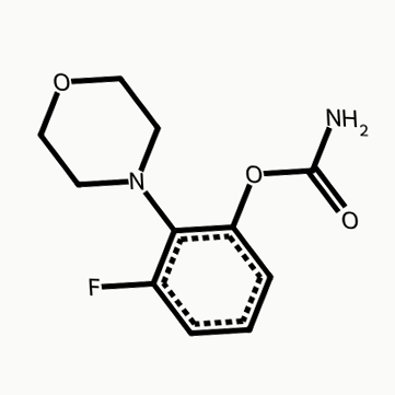 NC(=O)Oc1cccc(F)c1N1CCOCC1